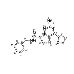 Nc1nc(-c2ccco2)c2nnn(C(=O)NCc3ccccc3)c2n1